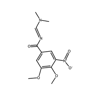 COc1cc(C(=O)N=CN(C)C)cc([N+](=O)[O-])c1OC